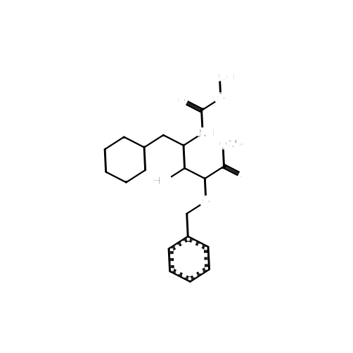 COC(=O)C(OCc1ccccc1)C(O)C(CC1CCCCC1)NC(=O)OC(C)(C)C